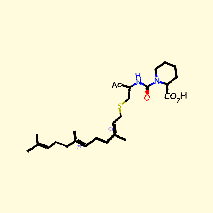 CC(=O)C(CSC/C=C(\C)CC/C=C(\C)CCC=C(C)C)NC(=O)N1CCCCC1C(=O)O